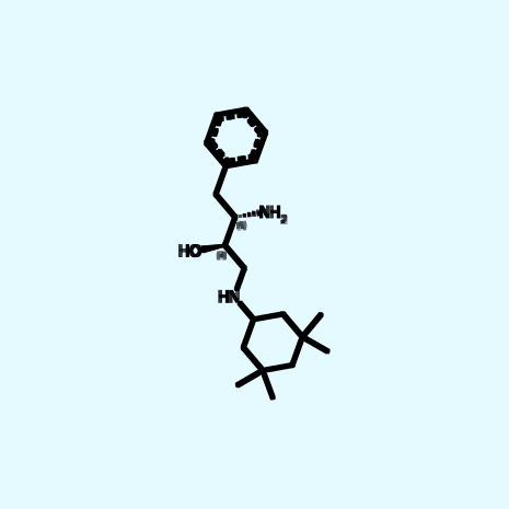 CC1(C)CC(NC[C@@H](O)[C@@H](N)Cc2ccccc2)CC(C)(C)C1